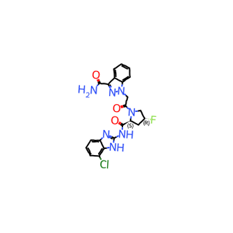 NC(=O)c1nn(CC(=O)N2C[C@H](F)C[C@H]2C(=O)Nc2nc3cccc(Cl)c3[nH]2)c2ccccc12